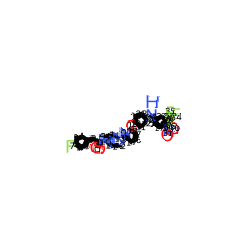 O=C(Cc1ccc(F)cc1)N1CCN(c2cccc(O[C@H]3CC[C@H](Nc4ccc([N+](=O)[O-])c(C(F)(F)F)c4)CC3)n2)CC1